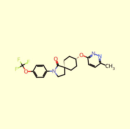 Cc1ccc(O[C@H]2CC[C@@]3(CCN(c4ccc(OC(F)(F)F)cc4)C3=O)CC2)nn1